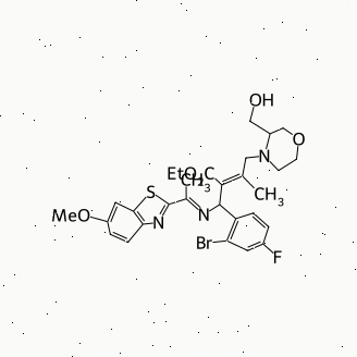 CCOC(=O)/C(=C(/C)CN1CCOCC1CO)C(/N=C(\C)c1nc2ccc(OC)cc2s1)c1ccc(F)cc1Br